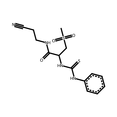 CS(=O)(=O)CC(NC(=S)Nc1ccccc1)C(=O)NCCC#N